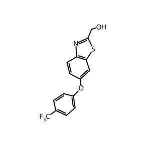 OCc1nc2ccc(Oc3ccc(C(F)(F)F)cc3)cc2s1